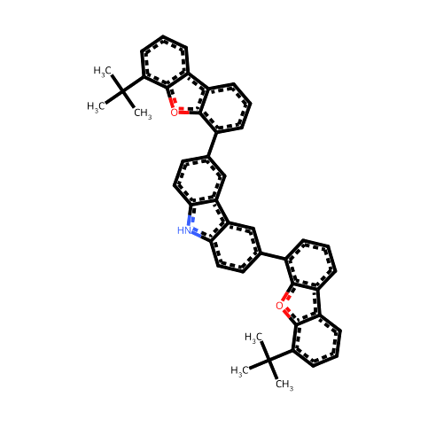 CC(C)(C)c1cccc2c1oc1c(-c3ccc4[nH]c5ccc(-c6cccc7c6oc6c(C(C)(C)C)cccc67)cc5c4c3)cccc12